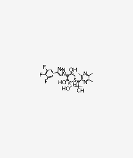 Cc1nc(C)c([C@H]([SH]2C[C@H](O)[C@H](n3cc(-c4cc(F)c(F)c(F)c4)nn3)[C@@H](O)[C@H]2CO)C(C)(C)O)nc1C